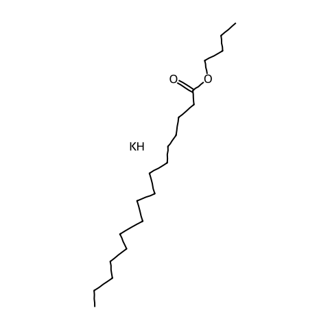 CCCCCCCCCCCCCCCC(=O)OCCCC.[KH]